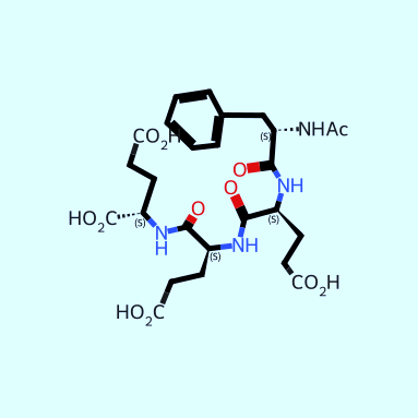 CC(=O)N[C@@H](Cc1ccccc1)C(=O)N[C@@H](CCC(=O)O)C(=O)N[C@@H](CCC(=O)O)C(=O)N[C@@H](CCC(=O)O)C(=O)O